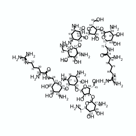 NC[C@@H]1OC(O[C@H]2[C@@H](O)[C@H](O[C@@H]3[C@@H](O)[C@H](N)C[C@H](N)[C@H]3O[C@H]3O[C@H](CNC(=O)[C@@H](N)CCCN=C(N)N)[C@@H](O)[C@H](O)[C@H]3N)O[C@@H]2CO)[C@H](N)[C@@H](O)[C@@H]1O.NC[C@H]1O[C@H](O[C@H]2[C@H](O[C@@H]3O[C@H](CO)[C@@H](OC4O[C@@H](CNC(=O)[C@@H](N)CCCN=C(N)N)[C@@H](O)[C@H](O)[C@H]4N)[C@H]3O)[C@@H](O)[C@H](N)C[C@@H]2N)[C@H](N)[C@@H](O)[C@@H]1O